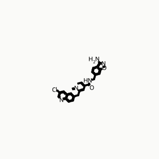 C=N/C(=C\C(=C/C)C(=O)NCc1ccc2c(N)noc2c1)Cc1ccc2ncc(Cl)cc2c1